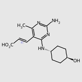 Cc1nc(N)nc(N[C@H]2CC[C@H](O)CC2)c1/C=C/C(=O)O